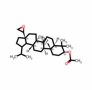 CC(=O)O[C@H]1CC[C@]2(C)[C@H]3CC[C@@H]4C5C(C(C)C)CC[C@]5(C5CO5)CC[C@@]4(C)[C@]3(C)CC[C@H]2C1(C)C